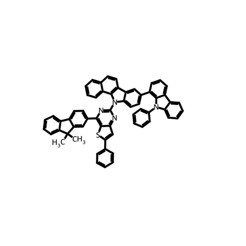 CC1(C)c2ccccc2-c2ccc(-c3nc(-n4c5ccc(-c6cccc7c8ccccc8n(-c8ccccc8)c67)cc5c5ccc6ccccc6c54)nc4cc(-c5ccccc5)sc34)cc21